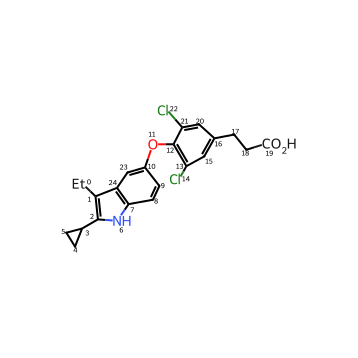 CCc1c(C2CC2)[nH]c2ccc(Oc3c(Cl)cc(CCC(=O)O)cc3Cl)cc12